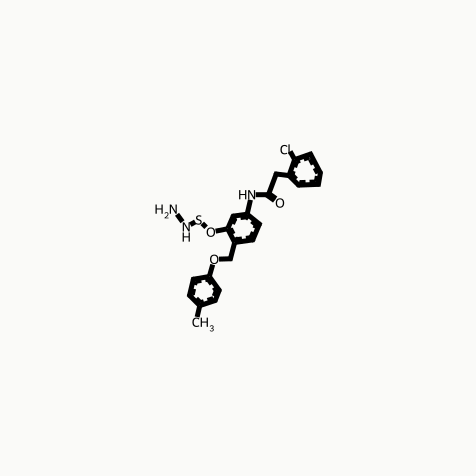 Cc1ccc(OCc2ccc(NC(=O)Cc3ccccc3Cl)cc2OSNN)cc1